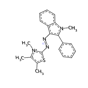 Cc1sc(/N=N/c2c(-c3ccccc3)n(C)c3ccccc23)[n+](C)c1C